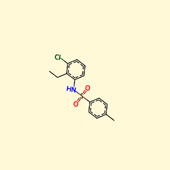 CCc1c(Cl)cccc1NS(=O)(=O)c1ccc(C)cc1